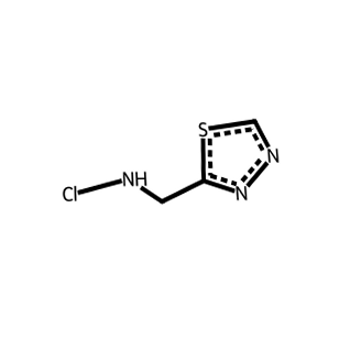 ClNCc1nncs1